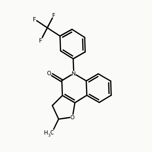 CC1Cc2c(c3ccccc3n(-c3cccc(C(F)(F)F)c3)c2=O)O1